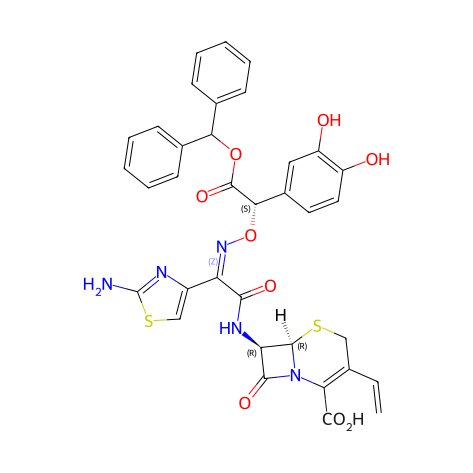 C=CC1=C(C(=O)O)N2C(=O)[C@@H](NC(=O)/C(=N\O[C@H](C(=O)OC(c3ccccc3)c3ccccc3)c3ccc(O)c(O)c3)c3csc(N)n3)[C@H]2SC1